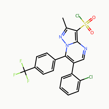 Cc1nn2c(-c3ccc(C(F)(F)F)cc3)c(-c3ccccc3Cl)cnc2c1S(=O)(=O)Cl